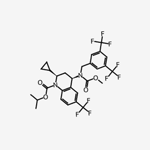 COC(=O)N(Cc1cc(C(F)(F)F)cc(C(F)(F)F)c1)[C@@H]1C[C@H](C2CC2)N(C(=O)OC(C)C)c2ccc(C(F)(F)F)cc21